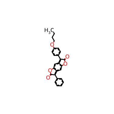 CCCCOc1ccc(C2=c3cc4c(cc3OC2=O)=C(c2ccccc2)C(=O)O4)cc1